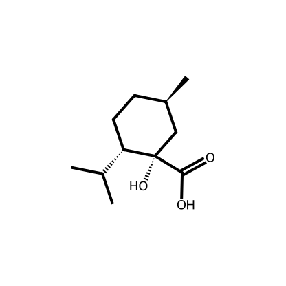 CC(C)[C@@H]1CC[C@@H](C)C[C@@]1(O)C(=O)O